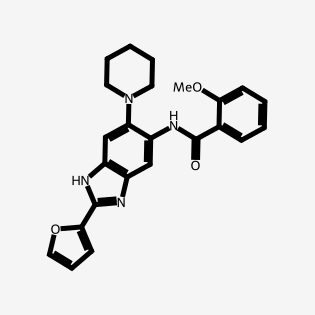 COc1ccccc1C(=O)Nc1cc2nc(-c3ccco3)[nH]c2cc1N1CCCCC1